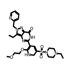 CCc1c2nc(C3=C(OCCOC)NCC(S(=O)(=O)N4CCN(CC)CC4)=C3)[nH]c(=O)c2nn1Cc1ccccn1